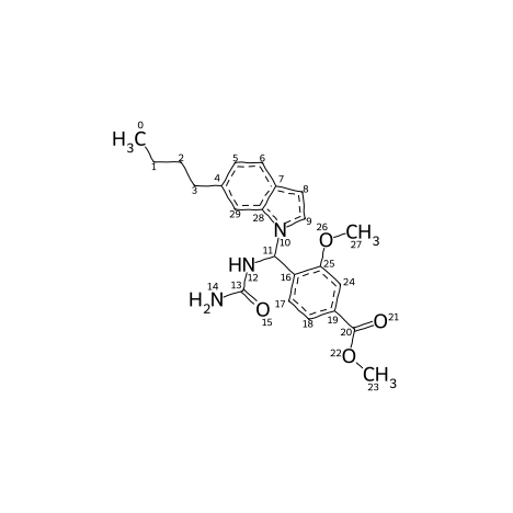 CCCCc1ccc2ccn(C(NC(N)=O)c3ccc(C(=O)OC)cc3OC)c2c1